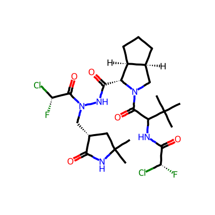 CC1(C)C[C@@H](CN(NC(=O)[C@@H]2[C@H]3CCC[C@H]3CN2C(=O)C(NC(=O)[C@H](F)Cl)C(C)(C)C)C(=O)[C@H](F)Cl)C(=O)N1